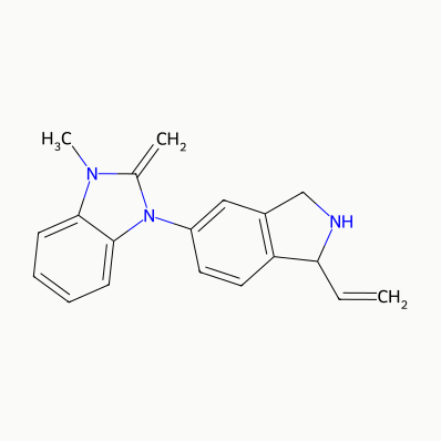 C=CC1NCc2cc(N3C(=C)N(C)c4ccccc43)ccc21